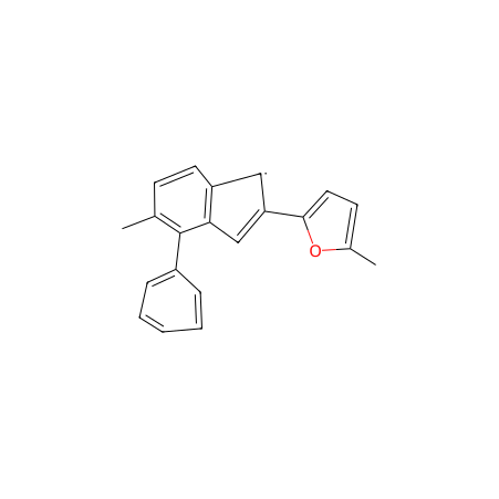 Cc1ccc(C2=Cc3c(ccc(C)c3-c3ccccc3)[CH]2)o1